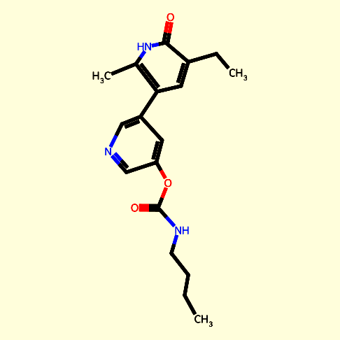 CCCCNC(=O)Oc1cncc(-c2cc(CC)c(=O)[nH]c2C)c1